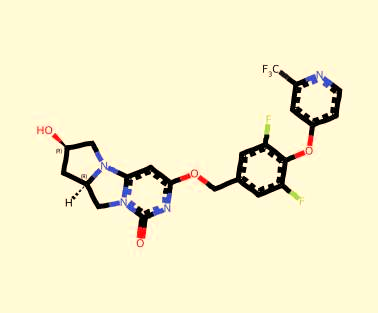 O=c1nc(OCc2cc(F)c(Oc3ccnc(C(F)(F)F)c3)c(F)c2)cc2n1C[C@H]1C[C@@H](O)CN21